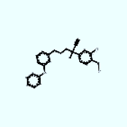 C#CC(C)(CCCc1cccc(Oc2ccccc2)c1)c1ccc(OCC)c(Cl)c1